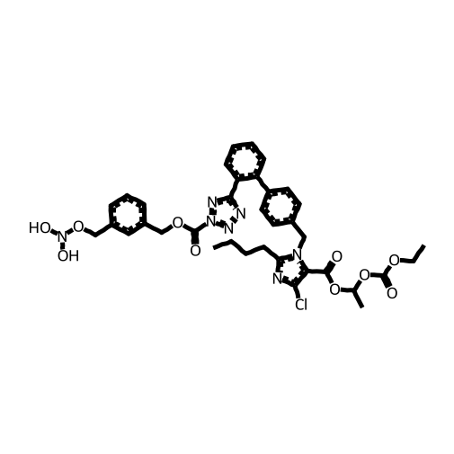 CCCCc1nc(Cl)c(C(=O)OC(C)OC(=O)OCC)n1Cc1ccc(-c2ccccc2-c2nnn(C(=O)OCc3cccc(CON(O)O)c3)n2)cc1